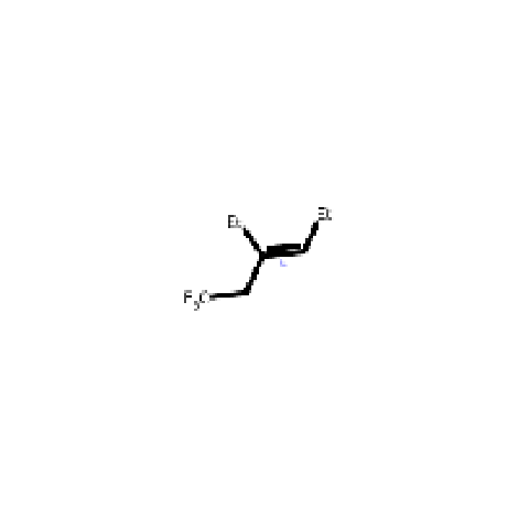 CC/C=C(\CC)CC(F)(F)F